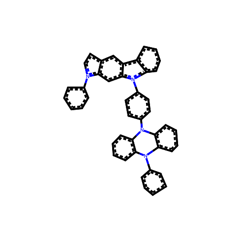 c1ccc(N2c3ccccc3N(c3ccc(-n4c5ccccc5c5cc6ccn(-c7ccccc7)c6cc54)cc3)c3ccccc32)cc1